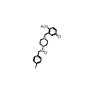 CC(=O)Oc1ccc(Cl)cc1CN1CCN([S+]([O-])Cc2ccc(F)cc2)CC1